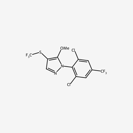 COc1c(SC(F)(F)F)cnn1-c1c(Cl)cc(C(F)(F)F)cc1Cl